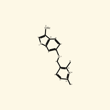 CC(=O)Oc1csc2cc(OCc3ccc(C)nc3C)ccc12